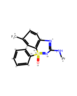 CC(C)NC1=Nc2ccc(C(F)(F)F)cc2S(=O)(c2ccccc2)=N1